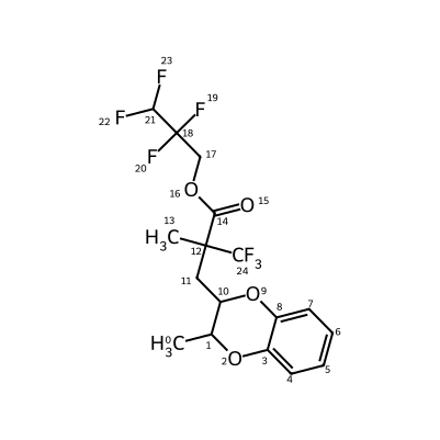 CC1Oc2ccccc2OC1CC(C)(C(=O)OCC(F)(F)C(F)F)C(F)(F)F